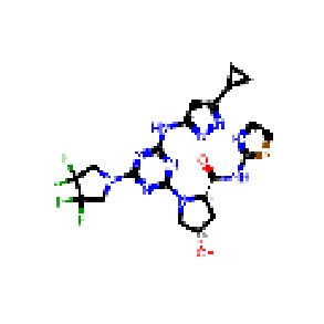 O=C(Nc1nccs1)[C@@H]1C[C@H](O)CN1c1nc(Nc2cc(C3CC3)[nH]n2)nc(N2CC(F)(F)C(F)(F)C2)n1